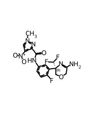 Cn1cc([N+](=O)[O-])c(C(=O)Nc2ccc(F)c([C@]3(C(F)F)COCC(N)=N3)c2)n1